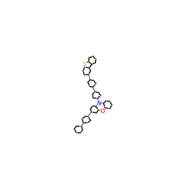 c1ccc(-c2ccc(-c3ccc4c(c3)Oc3ccccc3N4c3ccc(-c4ccc(-c5ccc6sc7ccccc7c6c5)cc4)cc3)cc2)cc1